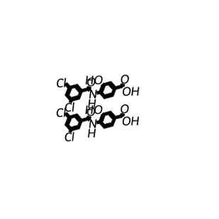 O=C(O)c1ccc(NC(=O)c2cc(Cl)cc(Cl)c2)c(O)c1.O=C(O)c1ccc(NC(=O)c2cc(Cl)cc(Cl)c2)c(O)c1